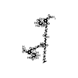 CC(C)=NOCCOCCOCCNC(=O)[C@H](CCCCNC(=O)COCCOCCNC(=O)c1cc(COC(N)=O)ccc1O[C@@H]1O[C@H](C(=O)O)[C@@H](O)[C@H](O)[C@H]1O)NC(=O)COCCOCCNC(=O)c1cc(COC(N)=O)ccc1O[C@@H]1O[C@H](C(=O)O)[C@@H](O)[C@H](O)[C@H]1O